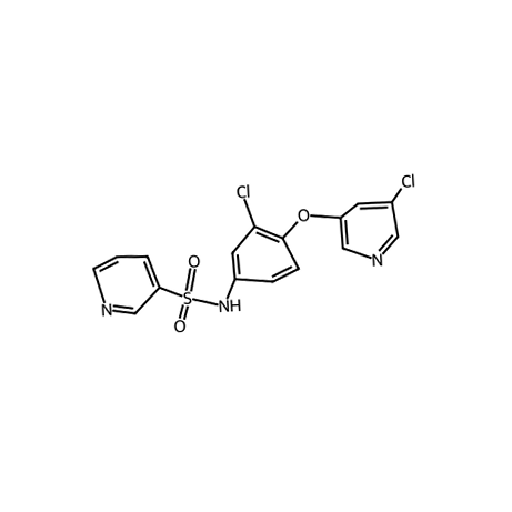 O=S(=O)(Nc1ccc(Oc2cncc(Cl)c2)c(Cl)c1)c1cccnc1